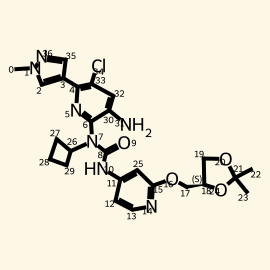 Cn1cc(-c2nc(N(C(=O)Nc3ccnc(OC[C@H]4COC(C)(C)O4)c3)C3CCC3)c(N)cc2Cl)cn1